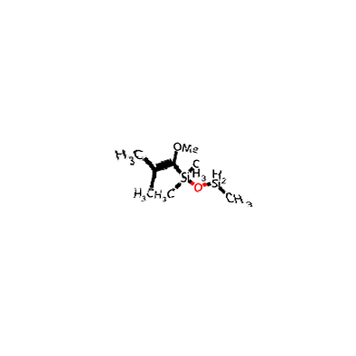 COC(=C(C)C)[Si](C)(C)O[SiH2]C